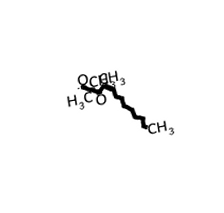 CCCCCCCCC=C(C)C(=O)C(C)(C)[C]=O